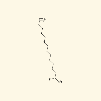 CCCC(F)CCCCCCCSCCCCC(=O)O